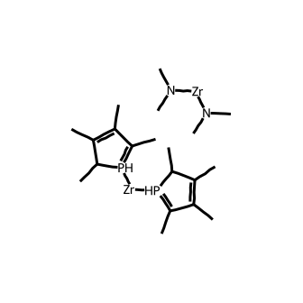 CC1=C(C)C(C)[PH]([Zr][PH]2=C(C)C(C)=C(C)C2C)=C1C.C[N](C)[Zr][N](C)C